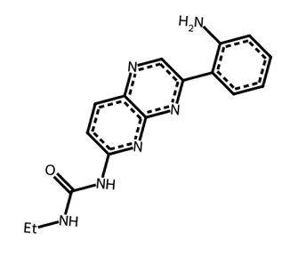 CCNC(=O)Nc1ccc2ncc(-c3ccccc3N)nc2n1